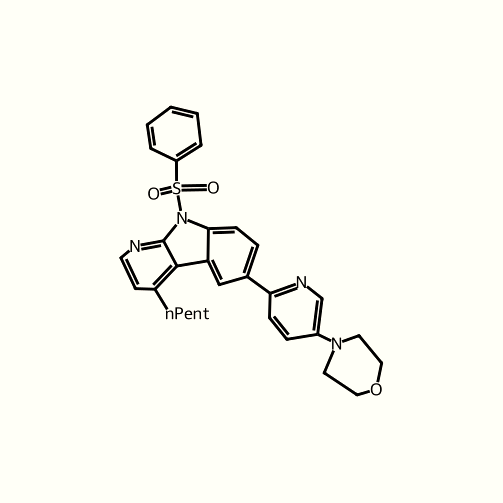 CCCCCc1ccnc2c1c1cc(-c3ccc(N4CCOCC4)cn3)ccc1n2S(=O)(=O)c1ccccc1